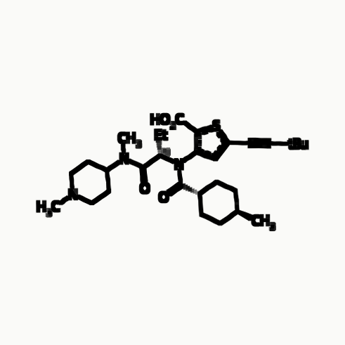 CC[C@@H](C(=O)N(C)C1CCN(C)CC1)N(c1cc(C#CC(C)(C)C)sc1C(=O)O)C(=O)[C@H]1CC[C@H](C)CC1